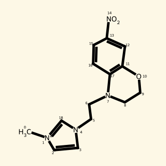 C[n+]1ccn(CCN2CCOc3cc([N+](=O)[O-])ccc32)c1